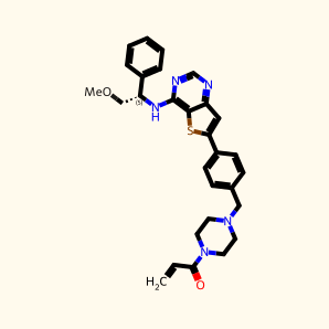 C=CC(=O)N1CCN(Cc2ccc(-c3cc4ncnc(N[C@H](COC)c5ccccc5)c4s3)cc2)CC1